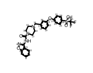 O=C(Nc1noc2ccccc12)N1CCN(Cc2cccc(Oc3ccc(S(=O)(=O)C(F)(F)F)cc3)c2)CC1